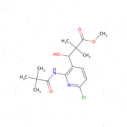 COC(=O)C(C)(C)C(O)c1ccc(Cl)nc1NC(=O)C(C)(C)C